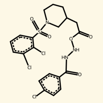 O=C(CC1CCCN(S(=O)(=O)c2cccc(Cl)c2Cl)C1)ONNC(=O)c1ccc(Cl)cc1